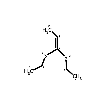 CC=C(SCC)SCC